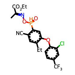 CCOC(=O)C(C)=NO[PH](=O)c1cc(Oc2ccc(C(F)(F)F)cc2Cl)c(CC)cc1C#N